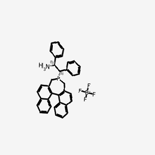 F[B-](F)(F)F.[NH3+][C@@H](c1ccccc1)[C@H](c1ccccc1)P1Cc2ccc3ccccc3c2-c2c(ccc3ccccc23)C1